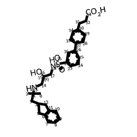 CC(C)(CC1Cc2ccccc2C1)NC[C@@H](O)CNS(=O)(=O)c1cccc(-c2ccc(CCC(=O)O)cc2)c1